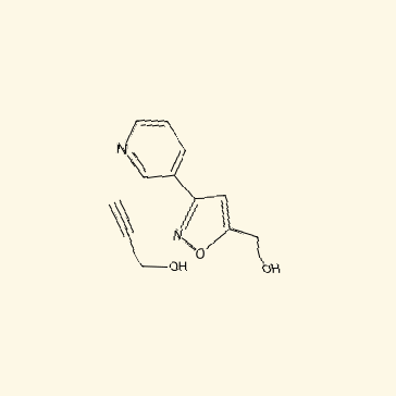 C#CCO.OCc1cc(-c2cccnc2)no1